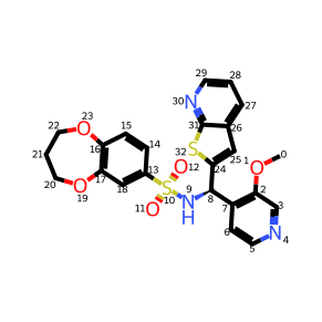 COc1cnccc1[C@@H](NS(=O)(=O)c1ccc2c(c1)OCCCO2)c1cc2cccnc2s1